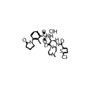 Cc1c(N2CCCC2=O)cccc1S(=O)(=O)N[C@@H](CNC(=O)c1ccc(Cl)s1)C(=O)N1CCN(C)CC1.Cl